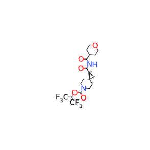 O=C(NC(=O)[C@H]1CC12CCN(C(=O)OC(C(F)(F)F)C(F)(F)F)CC2)C1CCOCC1